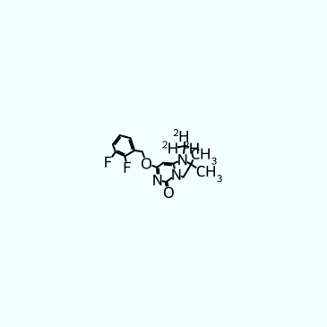 [2H]C([2H])([2H])N1c2cc(OCc3cccc(F)c3F)nc(=O)n2CC1(C)C